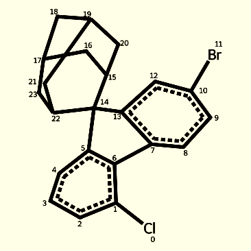 Clc1cccc2c1-c1ccc(Br)cc1C21C2CC3CC(C2)CC1C3